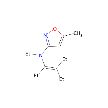 CCC(CC)=C(CC)N(CC)c1cc(C)on1